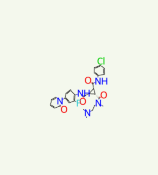 CN(C)CCN(C)C(=O)[C@H]1[C@H](C(=O)Nc2ccc(Cl)cc2)[C@@H]1C(=O)Nc1ccc(-n2ccccc2=O)cc1F